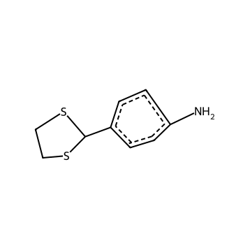 Nc1ccc(C2SCCS2)cc1